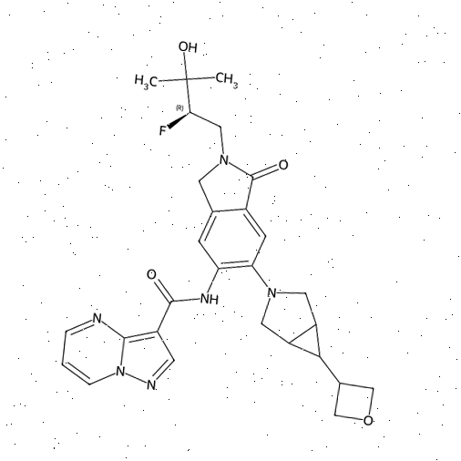 CC(C)(O)[C@H](F)CN1Cc2cc(NC(=O)c3cnn4cccnc34)c(N3CC4C(C3)C4C3COC3)cc2C1=O